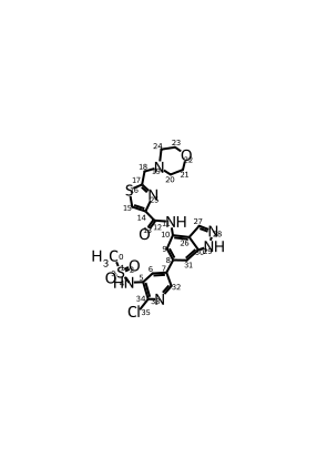 CS(=O)(=O)Nc1cc(-c2cc(NC(=O)c3csc(CN4CCOCC4)n3)c3cn[nH]c3c2)cnc1Cl